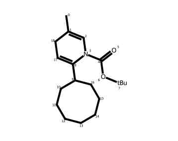 CC1=CN(C(=O)OC(C)(C)C)C(C2CCCCCCC2)=CC1